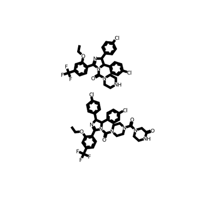 CCOc1cc(C(F)(F)F)ccc1C1=NC(c2ccc(Cl)cc2)C(c2ccc(Cl)cc2)N1C(=O)N1CCN(C(=O)N2CCNC(=O)C2)CC1.CCOc1cc(C(F)(F)F)ccc1C1=NC(c2ccc(Cl)cc2)C(c2ccc(Cl)cc2)N1C(=O)N1CCNCC1